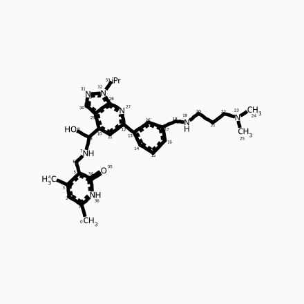 Cc1cc(C)c(CNC(O)c2cc(-c3cccc(CNCCCN(C)C)c3)nc3c2cnn3C(C)C)c(=O)[nH]1